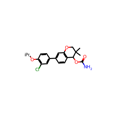 CC(C)Oc1ccc(-c2ccc3c(c2)OCC(C)(C)C3OC(N)=O)cc1Cl